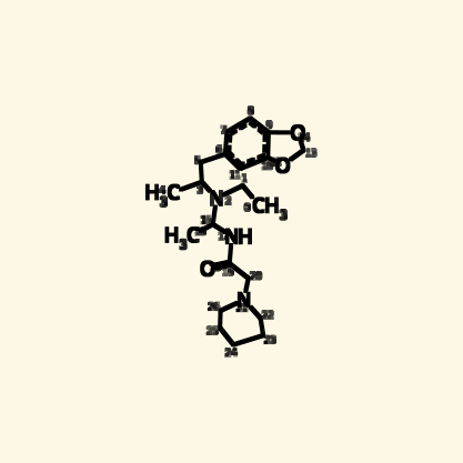 CCN(C(C)Cc1ccc2c(c1)OCO2)C(C)NC(=O)CN1CCCCC1